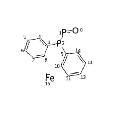 O=PP(c1ccccc1)c1ccccc1.[Fe]